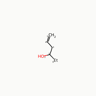 [CH2]CC(O)CC=C